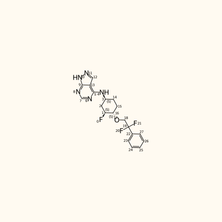 F[C@H]1C[C@@H](Nc2ncnc3[nH]ncc23)CC[C@@H]1OCC(F)(F)c1ccccc1